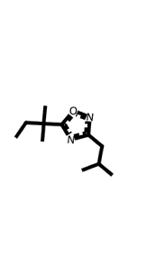 CCC(C)(C)c1nc(CC(C)C)no1